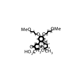 COCCCOc1cc2c(cc1OCCCOC)[C@@H]1CCC(C)(C)N1n1cc(C(=O)O)c(=O)cc1-2